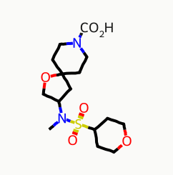 CN(C1COC2(CCN(C(=O)O)CC2)C1)S(=O)(=O)C1CCOCC1